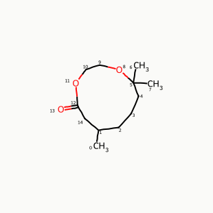 CC1CCCC(C)(C)OCCOC(=O)C1